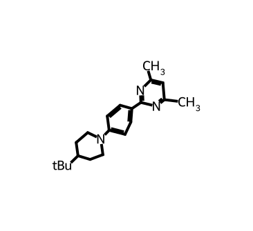 Cc1cc(C)nc(-c2ccc(N3CCC(C(C)(C)C)CC3)cc2)n1